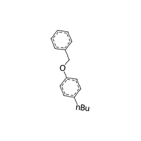 CCCCc1ccc(OCc2ccccc2)cc1